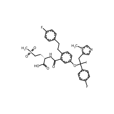 Cn1cncc1CC(I)(Oc1ccc(CCc2ccc(F)cc2)c(C(=O)N[C@@H](CCS(C)(=O)=O)C(=O)O)c1)c1ccc(F)cc1